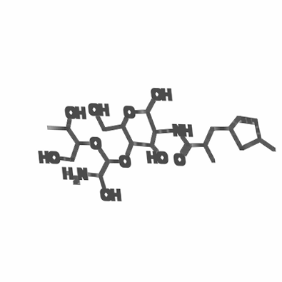 CC1C=CC(CC(C)C(=O)NC2C(O)OC(CO)C(OC(OC(CO)C(C)O)C(N)O)C2O)C1